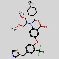 COCC(COC)N(c1ccc(Oc2ccc(Cc3cncs3)cc2C(F)(F)F)cc1C(=O)O)C(=O)[C@H]1CC[C@H](C)CC1